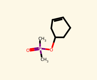 CP(C)(=O)OC1CC=CCC1